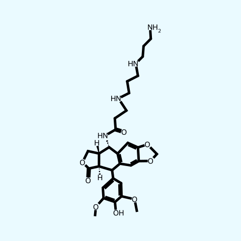 COc1cc(C2c3cc4c(cc3[C@@H](NC(=O)CCNCCCNCCCN)[C@H]3COC(=O)[C@H]23)OCO4)cc(OC)c1O